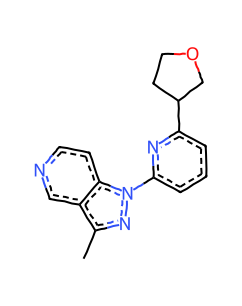 Cc1nn(-c2cccc(C3CCOC3)n2)c2ccncc12